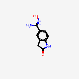 N/C(=N\O)c1ccc2c(c1)CC(=O)N2